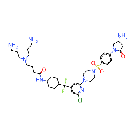 NCCCN(CCCN)CCCC(=O)NC1CCC(C(F)(F)c2cc(Cl)nc(N3CCN(S(=O)(=O)c4ccc(N5C[C@H](N)CC5=O)cc4)CC3)c2)CC1